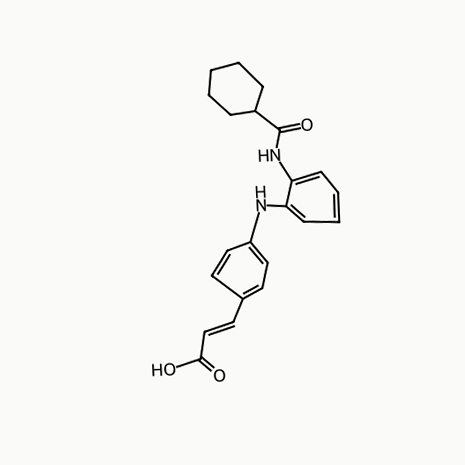 O=C(O)C=Cc1ccc(Nc2ccccc2NC(=O)C2CCCCC2)cc1